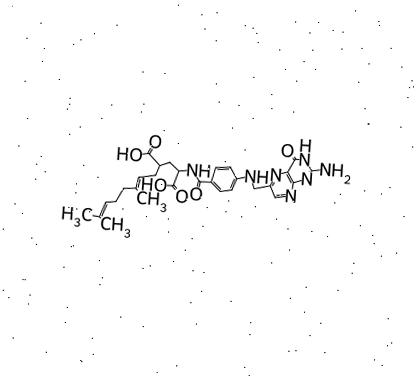 CC(C)=CCC/C(C)=C/CC(CC(NC(=O)c1ccc(NCc2cnc3nc(N)[nH]c(=O)c3n2)cc1)C(=O)O)C(=O)O